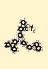 CC1(C)c2ccccc2-c2ccc(-c3ccc(N(c4ccc(-c5cccc(-c6cccc7ccccc67)c5)cc4)c4ccc5c6ccccc6c6ccccc6c5c4)cc3)cc21